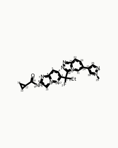 CCC(F)(c1ccc2nc(NC(=O)C3CC3)cn2n1)c1nnc2ccc(-c3cnn(C)c3)cn12